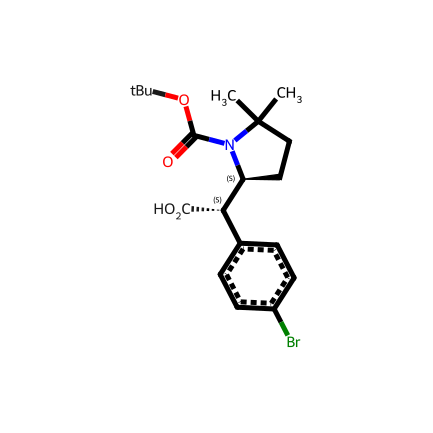 CC(C)(C)OC(=O)N1[C@H]([C@@H](C(=O)O)c2ccc(Br)cc2)CCC1(C)C